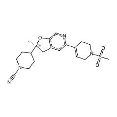 C[C@@]1(C2CCN(C#N)CC2)Cc2cc(C3=CCN(S(C)(=O)=O)CC3)ncc2O1